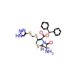 N[C@@H]1C(=O)N2C(C(=O)OC(c3ccccc3)c3ccccc3)=C(SCSc3c[nH]nn3)CS[C@@H]12